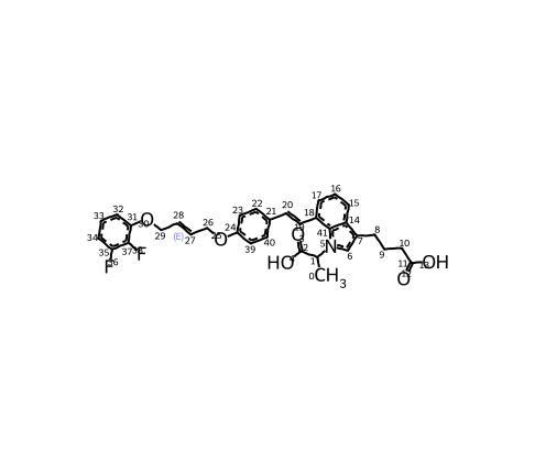 CC(C(=O)O)n1cc(CCCC(=O)O)c2cccc(C=Cc3ccc(OC/C=C/COc4cccc(F)c4F)cc3)c21